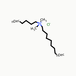 CCCCCCCCCCCCCCCCCC[N+](C)(C)CCCCCCCCCCCCCC.[Cl-]